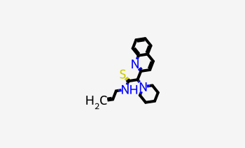 C=CCNC(=S)C(c1ccc2ccccc2n1)N1CCCCC1